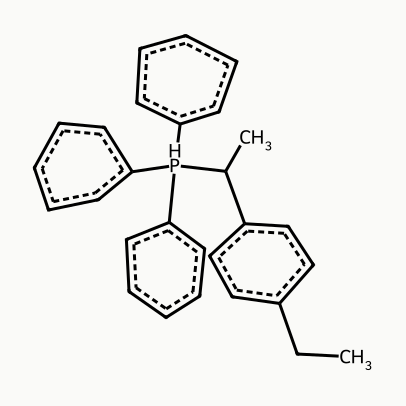 CCc1ccc(C(C)[PH](c2ccccc2)(c2ccccc2)c2ccccc2)cc1